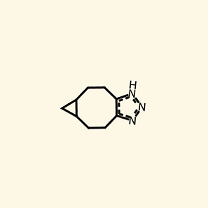 C1CC2CC2CCc2[nH]nnc21